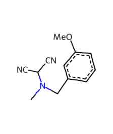 COc1cccc(CN(C)C(C#N)C#N)c1